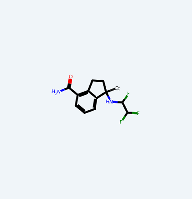 CCC1(NC(F)C(F)F)CCc2c(C(N)=O)cccc21